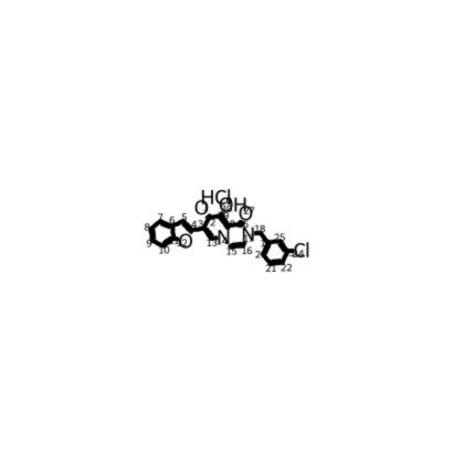 Cl.O=c1c(-c2cc3ccccc3o2)cn2ccn(Cc3cccc(Cl)c3)c(=O)c2c1O